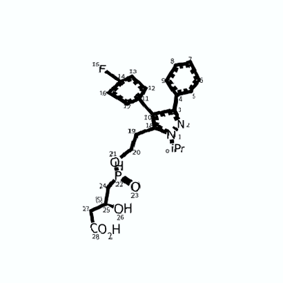 CC(C)n1nc(-c2ccccc2)c(-c2ccc(F)cc2)c1CCO[PH](=O)C[C@@H](O)CC(=O)O